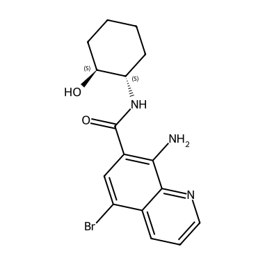 Nc1c(C(=O)N[C@H]2CCCC[C@@H]2O)cc(Br)c2cccnc12